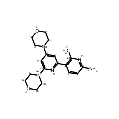 Nc1ccc(-c2cc(N3CCOCC3)cc(N3CCOCC3)n2)c(C(F)(F)F)n1